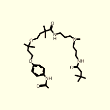 CC(=O)Nc1ccc(OCCC(C)(C)OCCC(C)(C)C(=O)NCCCN(C)CCCNC(=O)CC(C)(C)C)cc1